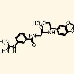 N=C(N)Nc1cccc(C(=O)NCC(=O)NC(CC(=O)O)c2ccc3c(c2)OCO3)c1